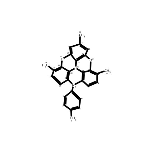 Cc1ccc(N2c3ccc(C)c4c3B3c5c(cc(C)cc5Oc5c(C)ccc2c53)O4)cc1